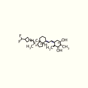 C=C1/C(=C\C=C2/CCC[C@]3(C)[C@@H](C(C)CN4CC(C(F)F)C4)CC[C@@H]23)C[C@@H](O)[C@H](C)[C@@H]1O